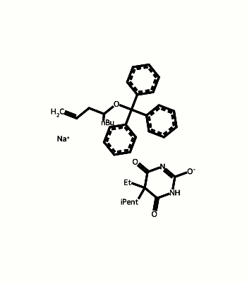 C=CCC(CCCC)OC(c1ccccc1)(c1ccccc1)c1ccccc1.CCCC(C)C1(CC)C(=O)N=C([O-])NC1=O.[Na+]